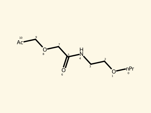 CCCOCCNC(=O)COCC(C)=O